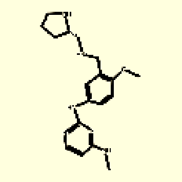 CNc1ccnc(Nc2ccc(OC)c(CNC[C@@H]3CCCN3)c2)n1